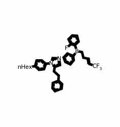 CCCCCCc1ccc(-n2cncc2CCc2ccccc2)cc1.Fc1ccccc1B(CCC=CC(F)(F)F)c1ccccc1